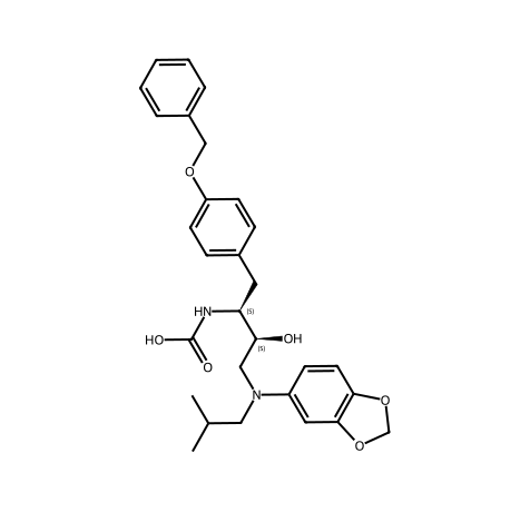 CC(C)CN(C[C@H](O)[C@H](Cc1ccc(OCc2ccccc2)cc1)NC(=O)O)c1ccc2c(c1)OCO2